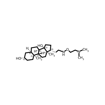 CN(C)CCONCC[C@H]1CC[C@]2(O)[C@@H]3CC[C@@H]4C[C@@H](O)CC[C@]4(C)[C@H]3CC[C@]12C